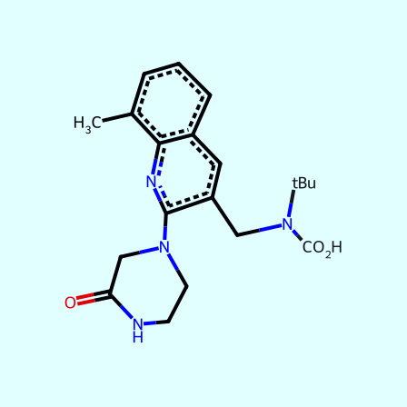 Cc1cccc2cc(CN(C(=O)O)C(C)(C)C)c(N3CCNC(=O)C3)nc12